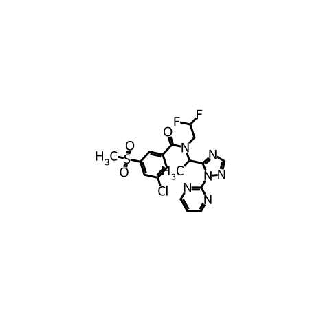 CC(c1ncnn1-c1ncccn1)N(CC(F)F)C(=O)c1cc(Cl)cc(S(C)(=O)=O)c1